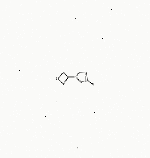 IC1=CCN(C2COC2)C1